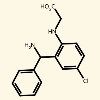 NC(c1ccccc1)c1cc(Cl)ccc1NCC(=O)O